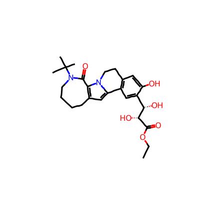 CCOC(=O)[C@H](O)[C@@H](O)c1cc2c(cc1O)CCn1c-2cc2c1C(=O)N(C(C)(C)C)CCCC2